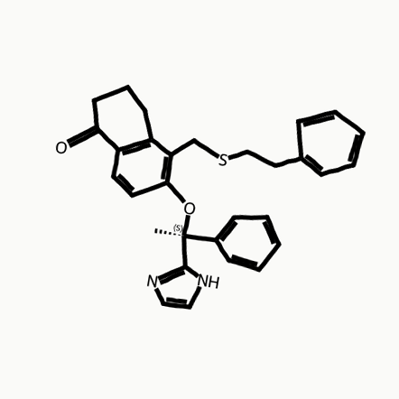 C[C@](Oc1ccc2c(c1CSCCc1ccccc1)CCCC2=O)(c1ccccc1)c1ncc[nH]1